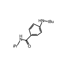 CC(C)NC(=O)c1ccc(NC(C)(C)C)cc1